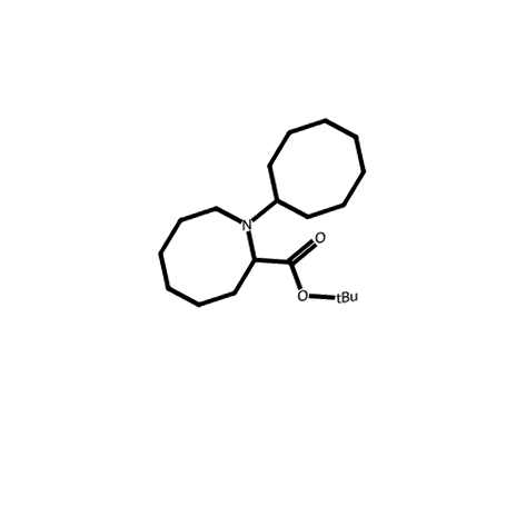 CC(C)(C)OC(=O)C1CCCCCCN1C1CCCCCCC1